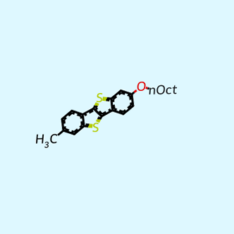 CCCCCCCCOc1ccc2c(c1)sc1c3ccc(C)cc3sc21